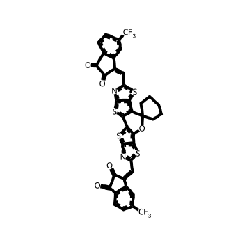 O=C1C(=O)c2ccc(C(F)(F)F)cc2/C1=C/c1nc2sc3c(c2s1)OC1(CCCCC1)c1c-3sc2nc(/C=C3\C(=O)C(=O)c4ccc(C(F)(F)F)cc43)sc12